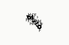 CCC(=N)[C@H](Cc1cc(F)cc(F)c1)NC(=O)Cn1nc(C(F)(F)F)c2c1C(F)(F)C1C[C@H]21